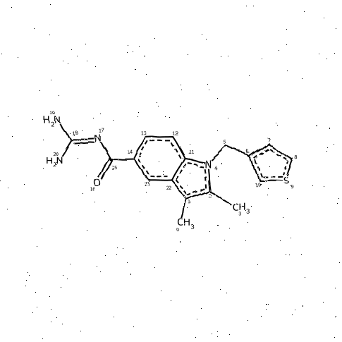 Cc1c(C)n(Cc2ccsc2)c2ccc(C(=O)N=C(N)N)cc12